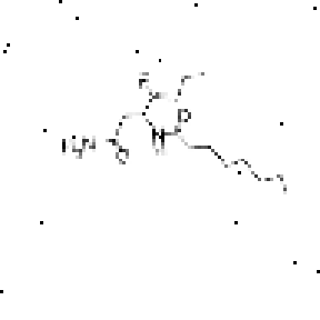 CC/C=C(\F)[C@@H](CC(N)=O)NC(=O)CCCCCCC